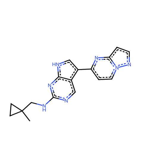 CC1(CNc2ncc3c(-c4ccn5nccc5n4)c[nH]c3n2)CC1